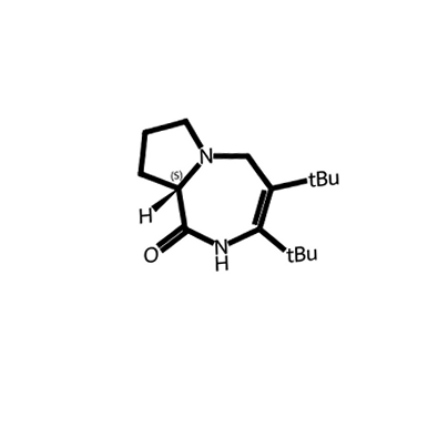 CC(C)(C)C1=C(C(C)(C)C)NC(=O)[C@@H]2CCCN2C1